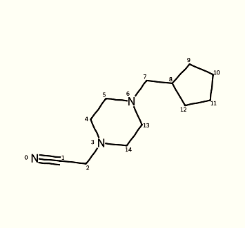 N#CCN1CCN(CC2CCCC2)CC1